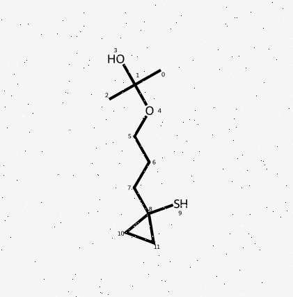 CC(C)(O)OCCCC1(S)CC1